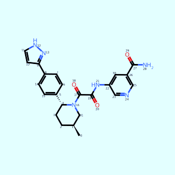 C[C@H]1CC[C@H](c2ccc(-c3cc[nH]n3)cc2)N(C(=O)C(=O)Nc2cncc(C(N)=O)c2)C1